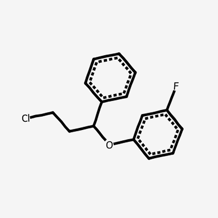 Fc1cccc(OC(CCCl)c2ccccc2)c1